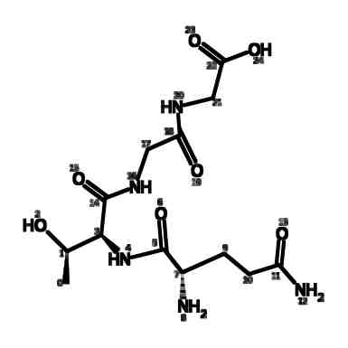 C[C@@H](O)[C@H](NC(=O)[C@@H](N)CCC(N)=O)C(=O)NCC(=O)NCC(=O)O